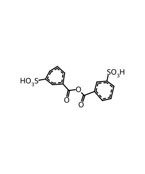 O=C(OC(=O)c1cccc(S(=O)(=O)O)c1)c1cccc(S(=O)(=O)O)c1